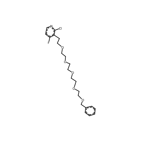 Fc1ccnc(Cl)c1CCOCCOCCOCCOCCOCc1ccccc1